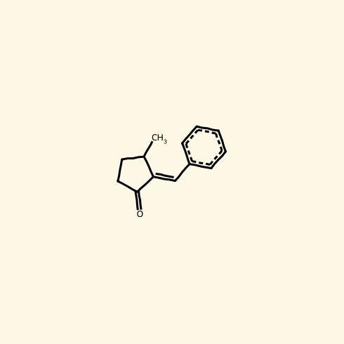 CC1CCC(=O)/C1=C/c1ccccc1